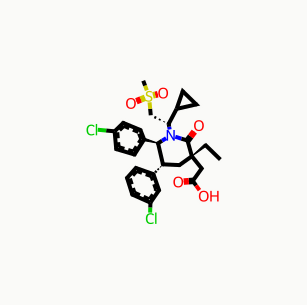 CC[C@@]1(CC(=O)O)C[C@H](c2cccc(Cl)c2)[C@@H](c2ccc(Cl)cc2)N([C@H](CS(C)(=O)=O)C2CC2)C1=O